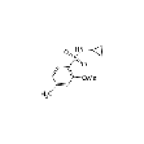 COc1cc(C)ccc1S(=O)(=O)NC1CC1